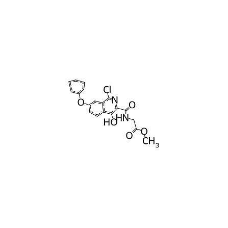 COC(=O)CNC(=O)c1nc(Cl)c2cc(Oc3ccccc3)ccc2c1O